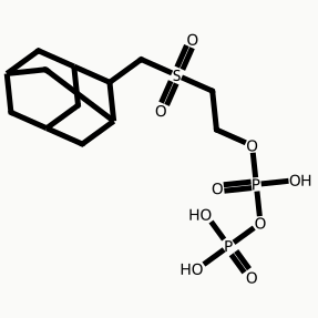 O=P(O)(O)OP(=O)(O)OCCS(=O)(=O)CC1C2CC3CC(C2)CC1C3